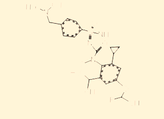 CC(F)Oc1cc(C(C)C)c(N(C)C(=O)N=S(N)(=O)c2ccc(CN(C)C)cc2)c(C2CC2)c1